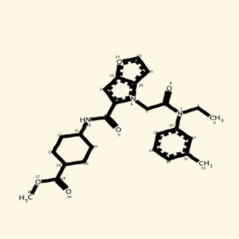 CCN(C(=O)Cn1c(C(=O)NC2CCC(C(=O)OC)CC2)cc2occc21)c1cccc(C)c1